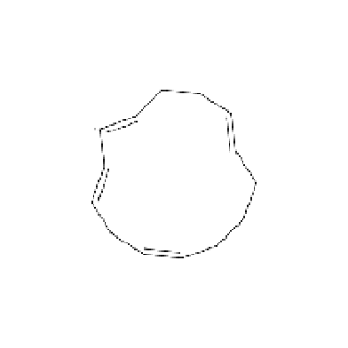 [C]1=C/CC/C=C/CCC/C=C\C/C=C/1